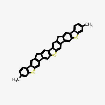 Cc1ccc2c(c1)sc1cc3c(cc12)Cc1cc2c(cc1-3)sc1cc3c(cc12)Cc1cc2c(cc1-3)sc1cc(C)ccc12